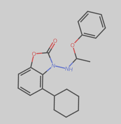 CC(Nn1c(=O)oc2cccc(C3CCCCC3)c21)Oc1ccccc1